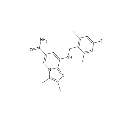 Cc1cc(F)cc(C)c1CNc1cc(C(N)=O)cn2c(C)c(C)nc12